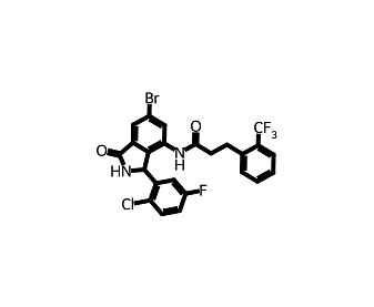 O=C(CCc1ccccc1C(F)(F)F)Nc1cc(Br)cc2c1C(c1cc(F)ccc1Cl)NC2=O